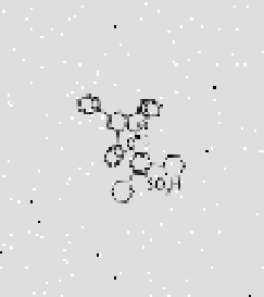 O=S(=O)(O)c1c(C2CCCCC2)cc(OS(=O)(=O)c2c(-c3cc4ccc3o4)cc(-c3cc4ccc3o4)cc2-c2cc3ccc2o3)cc1C1CCCCC1